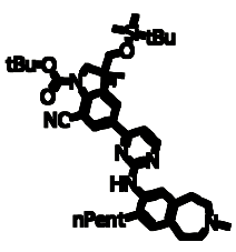 CCCCCc1cc2c(cc1Nc1nccc(-c3cc(C#N)c4c(c3)[C@@](C)(CO[Si](C)(C)C(C)(C)C)CN4C(=O)OC(C)(C)C)n1)CCN(C)CC2